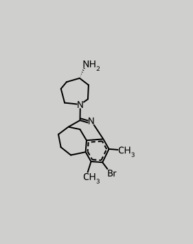 Cc1c(Br)c(C)c2c3c1CCCC(C3)C(N1CCC[C@H](N)CC1)=N2